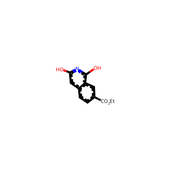 CCOC(=O)c1ccc2cc(O)nc(O)c2c1